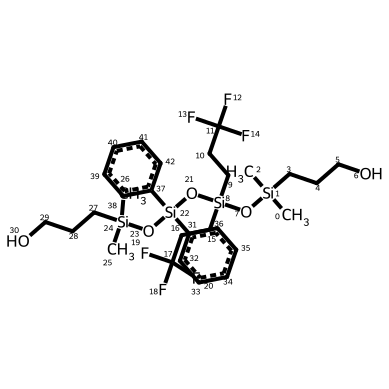 C[Si](C)(CCCO)O[Si](CCC(F)(F)F)(CCC(F)(F)F)O[Si](O[Si](C)(C)CCCO)(c1ccccc1)c1ccccc1